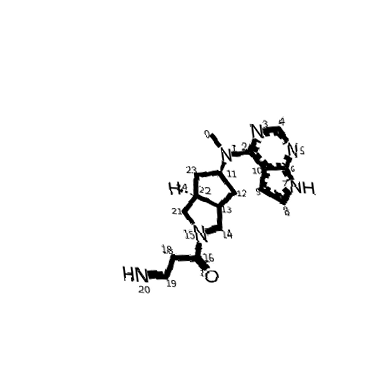 CN(c1ncnc2[nH]ccc12)[C@H]1CC2CN(C(=O)CC=N)C[C@H]2C1